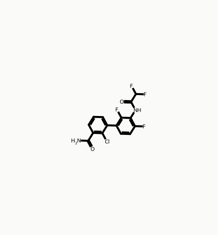 NC(=O)c1cccc(-c2ccc(F)c(NC(=O)C(F)F)c2F)c1Cl